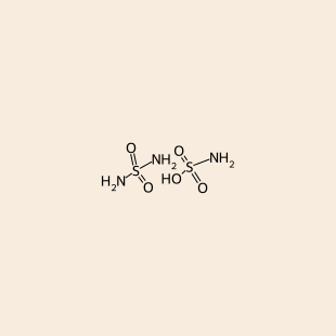 NS(=O)(=O)O.NS(N)(=O)=O